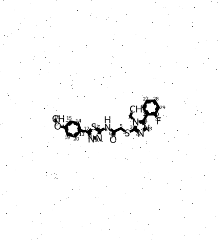 CCn1c(SCC(=O)Nc2nnc(-c3ccc(OC)cc3)s2)nnc1-c1ccccc1F